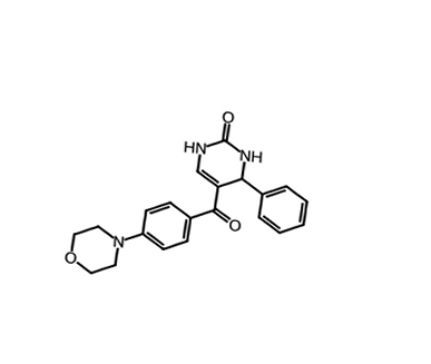 O=C1NC=C(C(=O)c2ccc(N3CCOCC3)cc2)C(c2ccccc2)N1